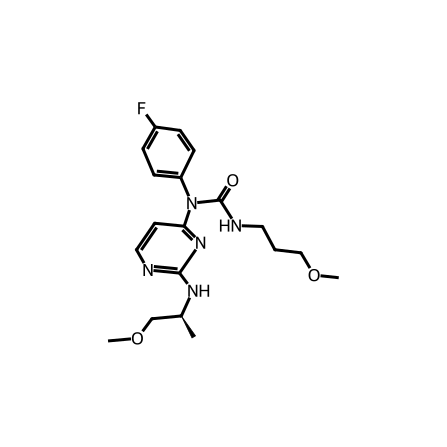 COCCCNC(=O)N(c1ccc(F)cc1)c1ccnc(N[C@@H](C)COC)n1